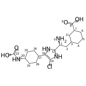 N[C@@H](CC1CCCC(C(=O)O)C1)C1NC(Cl)=C(C2CCC(NC(=O)O)CC2)N1